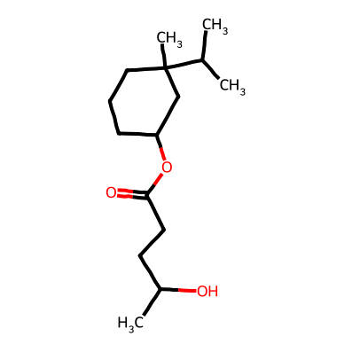 CC(O)CCC(=O)OC1CCCC(C)(C(C)C)C1